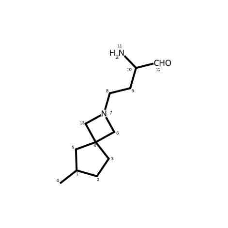 CC1CCC2(C1)CN(CCC(N)C=O)C2